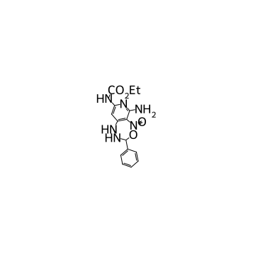 CCOC(=O)Nc1cc2c(c(N)n1)[N+](=O)OC(c1ccccc1)NN2